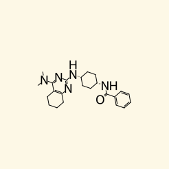 CN(C)c1nc(N[C@H]2CC[C@@H](NC(=O)c3ccccc3)CC2)nc2c1CCCC2